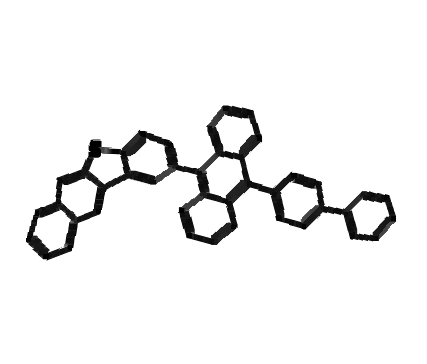 c1ccc(-c2ccc(-c3c4ccccc4c(-c4ccc5sc6cc7ccccc7cc6c5c4)c4ccccc34)cc2)cc1